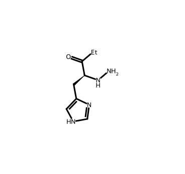 CCC(=O)[C@H](Cc1c[nH]cn1)NN